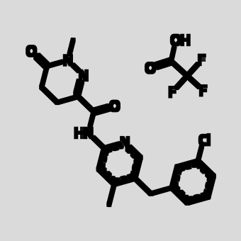 Cc1cc(NC(=O)C2=NN(C)C(=O)CC2)ncc1Cc1cccc(Cl)c1.O=C(O)C(F)(F)F